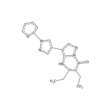 CCc1[nH]c2c(-c3cnn(-c4ccccn4)c3)cnn2c(=O)c1CC